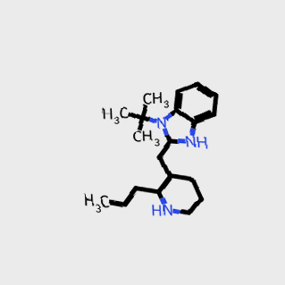 CCCC1NCCCC1CC1Nc2ccccc2N1C(C)(C)C